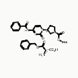 CC(C)(C)OC(=O)N1CC[C@H](n2ccc(NC(=O)c3ccccc3)nc2=O)C1.N[C@@H](C(=O)O)C(=O)OCc1ccccc1